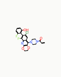 C=CC(=O)N1CCN(c2c3c(nc4c(F)c(-c5c(O)cccc5F)c(Cl)cc24)OCCO3)CC1